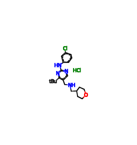 CC(C)(C)c1nc(Nc2cccc(Cl)c2)ncc1CNCC1CCOCC1.Cl